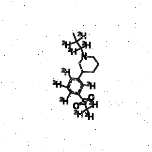 [2H]c1c([2H])c(C2CCCN(C([2H])([2H])C([2H])([2H])C)C2)c([2H])c(S(=O)(=O)C([2H])([2H])[2H])c1[2H]